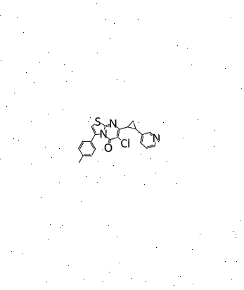 Cc1ccc(-c2csc3nc(C4CC4c4cccnc4)c(Cl)c(=O)n23)cc1